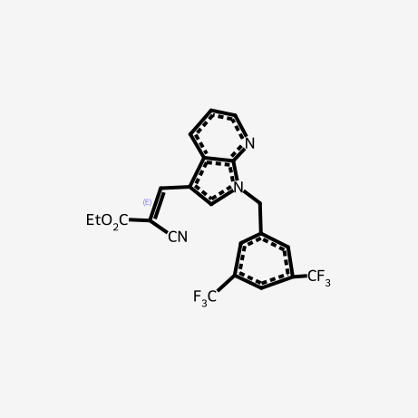 CCOC(=O)/C(C#N)=C/c1cn(Cc2cc(C(F)(F)F)cc(C(F)(F)F)c2)c2ncccc12